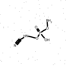 BOP(=O)(O)ONC#N